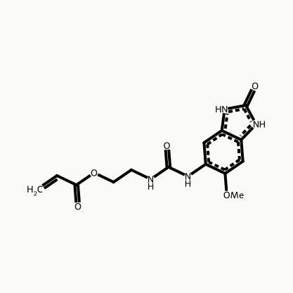 C=CC(=O)OCCNC(=O)Nc1cc2[nH]c(=O)[nH]c2cc1OC